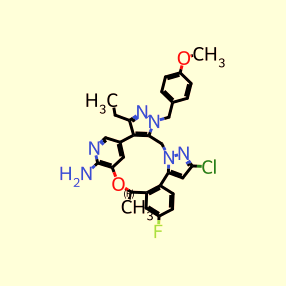 CCc1nn(Cc2ccc(OC)cc2)c2c1-c1cnc(N)c(c1)O[C@H](C)c1cc(F)ccc1-c1cc(Cl)nn1C2